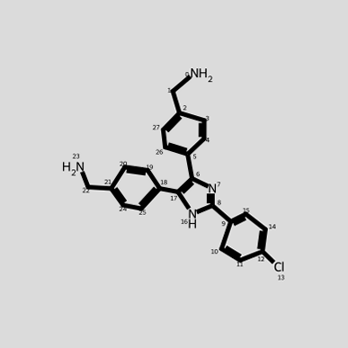 NCc1ccc(-c2nc(-c3ccc(Cl)cc3)[nH]c2-c2ccc(CN)cc2)cc1